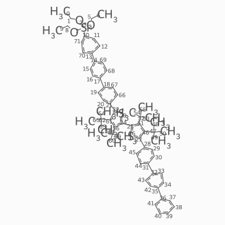 CCO[Si](OCC)(OCC)c1ccc(-c2ccc(-c3ccc(-c4sc(-c5sc(-c6ccc(-c7ccc(-c8ccccc8)cc7)cc6)c(C(C)(C)C)c5C(C)(C)C)c(C(C)(C)C)c4C(C)(C)C)cc3)cc2)cc1